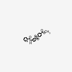 COC(=O)c1ccc(S(=O)(=O)n2ccc(NC(=O)c3ccccn3)c2)cc1